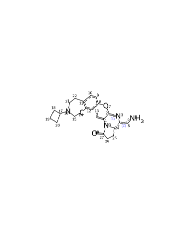 C=C(/C(=N\C=C/N)Oc1ccc2c(c1)CCN(C1CCC1)CC2)N1CCCC1=O